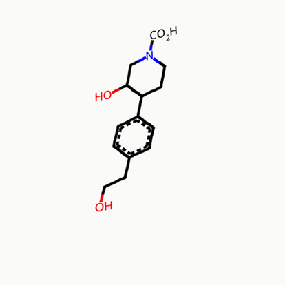 O=C(O)N1CCC(c2ccc(CCO)cc2)C(O)C1